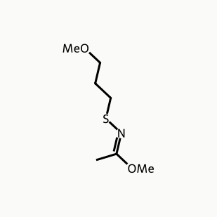 COCCCS/N=C(\C)OC